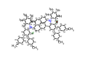 [2H]c1c([2H])c([2H])c(N(c2ccc(-c3ccc(C)cc3)c(-c3ccc(C)cc3)c2F)c2ccc3ccc4c(N(c5ccc(-c6ccc(C)cc6)c(-c6ccc(C)cc6)c5F)c5c([2H])c([2H])c([2H])c([2H])c5[2H])ccc5ccc2c3c54)c([2H])c1[2H]